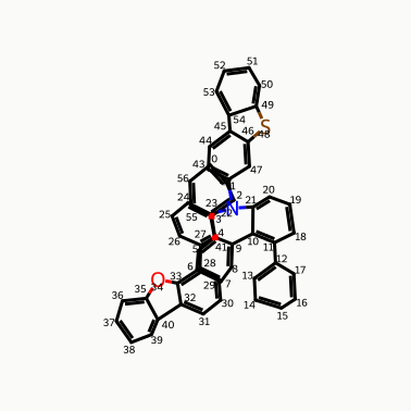 c1ccc(-c2ccccc2-c2c(-c3ccccc3)cccc2N(c2cccc(-c3cccc4c3oc3ccccc34)c2)c2ccc3c(c2)sc2ccccc23)cc1